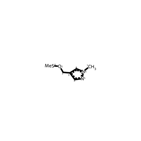 CSOCc1cnn(C)c1